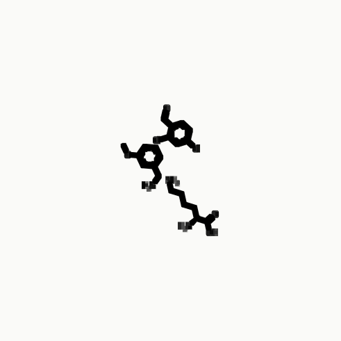 COc1cccc(CN)c1.NCCCC[C@H](N)C(=O)O.O=Cc1ccc(Cl)cc1Cl